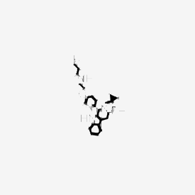 C[C@@H]1Cc2c([nH]c3ccccc23)[C@@H](c2ccc(OCCNCCCF)cn2)N1CC1(F)CC1